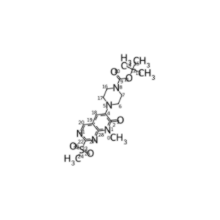 Cn1c(=O)c(N2CCN(C(=O)OC(C)(C)C)CC2)cc2cnc(S(C)(=O)=O)nc21